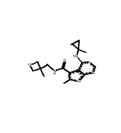 Cc1oc2ncnc(NC3(C)CC3)c2c1C(=O)NCC1(C)COC1